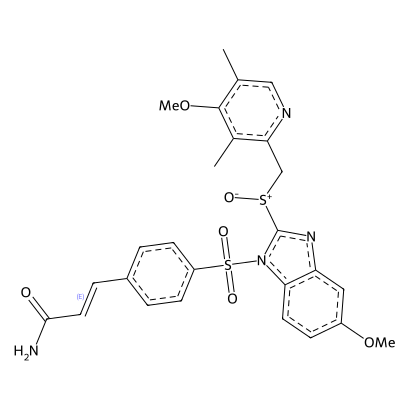 COc1ccc2c(c1)nc([S+]([O-])Cc1ncc(C)c(OC)c1C)n2S(=O)(=O)c1ccc(/C=C/C(N)=O)cc1